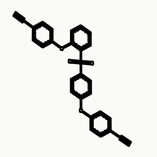 C#Cc1ccc(Oc2ccc(S(=O)(=O)c3ccccc3Oc3ccc(C#C)cc3)cc2)cc1